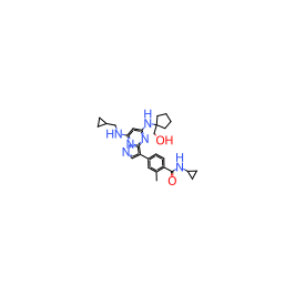 Cc1cc(-c2cnn3c(NCC4CC4)cc(NC4(CO)CCCC4)nc23)ccc1C(=O)NC1CC1